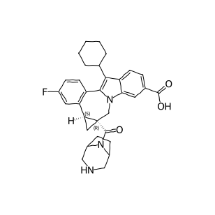 O=C(O)c1ccc2c(C3CCCCC3)c3n(c2c1)C[C@@]1(C(=O)N2C4CCC2CNC4)C[C@H]1c1cc(F)ccc1-3